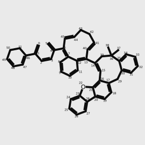 C=C(/C=C\C(=C)C1=c2/cccc/c2=C(\C2=C/c3c(ccc4c3oc3ccccc34)Cc3ccccc3C(C)(C)C2)/C=C/CC/C=C/1)C1=CC=CCC1